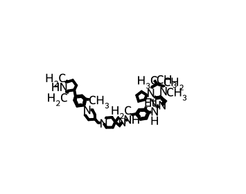 C=C1CCC(c2ccc(N3CCC(CN4CCC5(CC4)CN(NC(=C)c4ccc(Nc6ncc7c(n6)N(C6CCCC6)CC(C)(C)C(=C)N7C)c(CC)c4)C5)CC3)c(C)c2)C(=C)N1